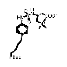 CCCCCCCCCCCCCCc1ccc(NS(=O)(=O)N[C@H](CC(=O)[O-])C[N+](C)(C)C)cc1